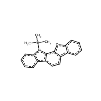 C[Si](C)(C)n1c2ccccc2c2ccc3c4ccccc4oc3c21